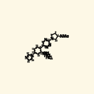 CNC1CCN(c2ncc(-c3ccc(-n4ccnc4)cc3O)nn2)C1.Cl.Cl.Cl